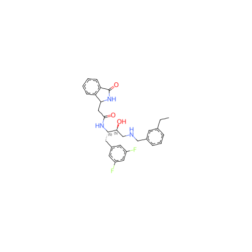 CCc1cccc(CNC[C@H](O)[C@H](Cc2cc(F)cc(F)c2)NC(=O)CC2NC(=O)c3ccccc32)c1